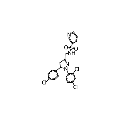 O=S(=O)(NCC1=NN(c2ccc(Cl)cc2Cl)C(c2ccc(Cl)cc2)C1)c1cccnc1